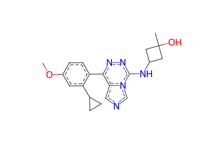 COc1ccc(-c2nnc(NC3CC(C)(O)C3)n3cncc23)c(C2CC2)c1